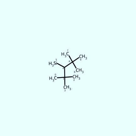 CC(C)(C)C([SiH3])C(C)(C)C